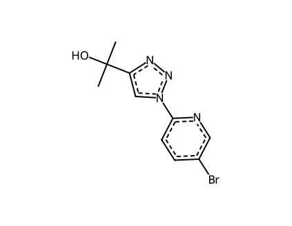 CC(C)(O)c1cn(-c2ccc(Br)cn2)nn1